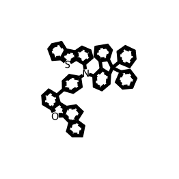 c1ccc(C2(c3ccccc3)c3ccccc3-c3c(N(c4ccc(-c5cccc6oc7c8ccccc8ccc7c56)cc4)c4cccc5c4sc4ccccc45)cccc32)cc1